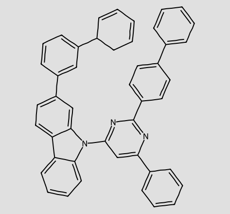 C1=CCC(c2cccc(-c3ccc4c5ccccc5n(-c5cc(-c6ccccc6)nc(-c6ccc(-c7ccccc7)cc6)n5)c4c3)c2)C=C1